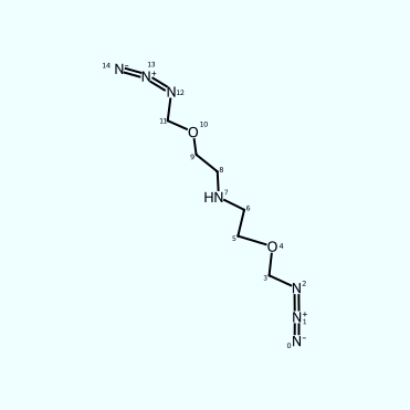 [N-]=[N+]=NCOCCNCCOCN=[N+]=[N-]